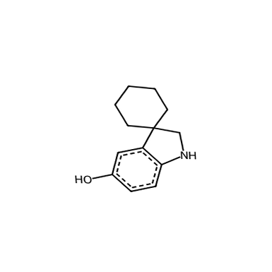 Oc1ccc2c(c1)C1(CCCCC1)CN2